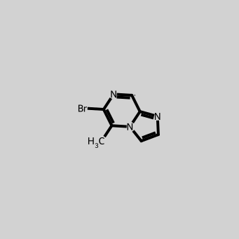 Cc1c(Br)n[c]c2nccn12